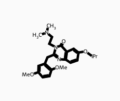 COc1ccc(OC)c(Cc2nc3ccc(OC(C)C)cc3c(=O)n2CCN(C)C)c1